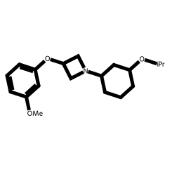 COc1cccc(OC2CN(C3CCCC(OC(C)C)C3)C2)c1